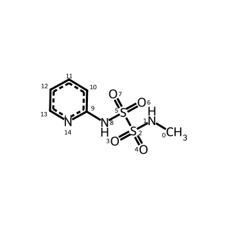 CNS(=O)(=O)S(=O)(=O)Nc1ccccn1